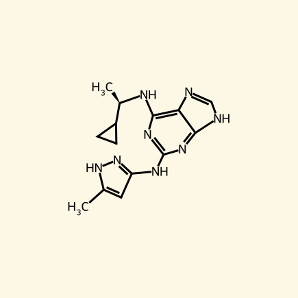 Cc1cc(Nc2nc(N[C@H](C)C3CC3)c3nc[nH]c3n2)n[nH]1